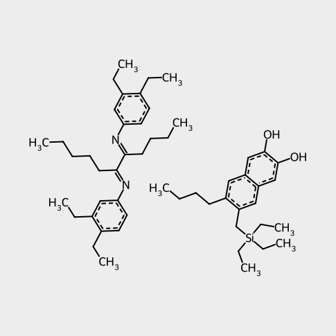 CCCCCC(=Nc1ccc(CC)c(CC)c1)C(CCCC)=Nc1ccc(CC)c(CC)c1.CCCCc1cc2cc(O)c(O)cc2cc1C[Si](CC)(CC)CC